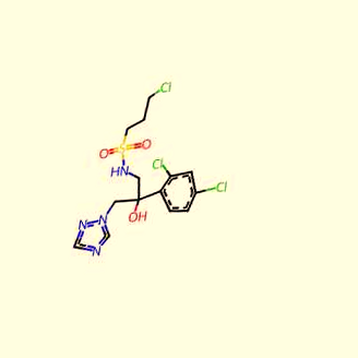 O=S(=O)(CCCCl)NCC(O)(Cn1cncn1)c1ccc(Cl)cc1Cl